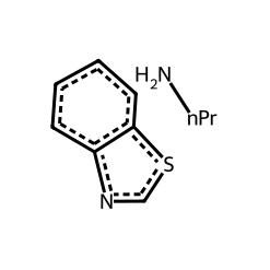 CCCN.c1ccc2scnc2c1